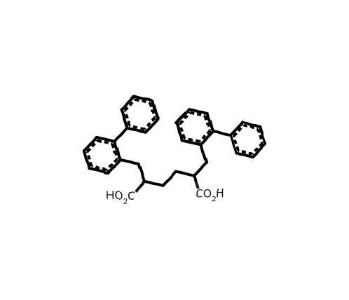 O=C(O)C(CCC(Cc1ccccc1-c1ccccc1)C(=O)O)Cc1ccccc1-c1ccccc1